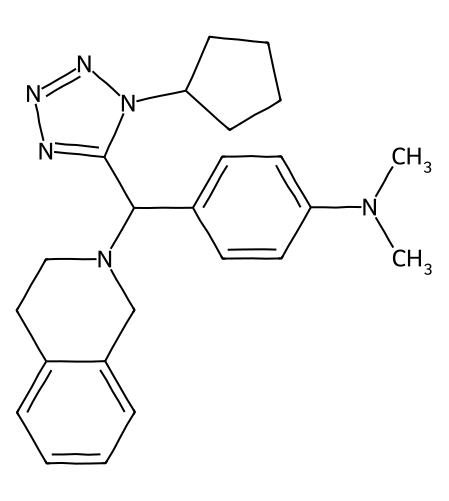 CN(C)c1ccc(C(c2nnnn2C2CCCC2)N2CCc3ccccc3C2)cc1